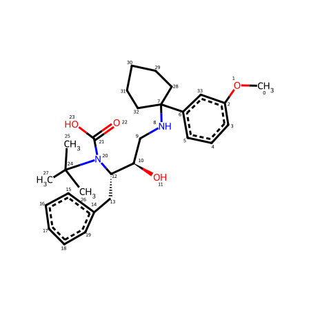 COc1cccc(C2(NC[C@@H](O)[C@H](Cc3ccccc3)N(C(=O)O)C(C)(C)C)CCCCC2)c1